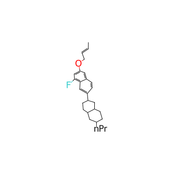 CC=CCOc1cc(F)c2cc(C3CCC4CC(CCC)CCC4C3)ccc2c1